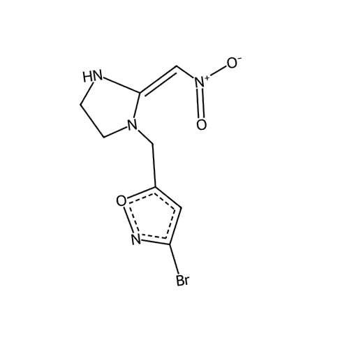 O=[N+]([O-])C=C1NCCN1Cc1cc(Br)no1